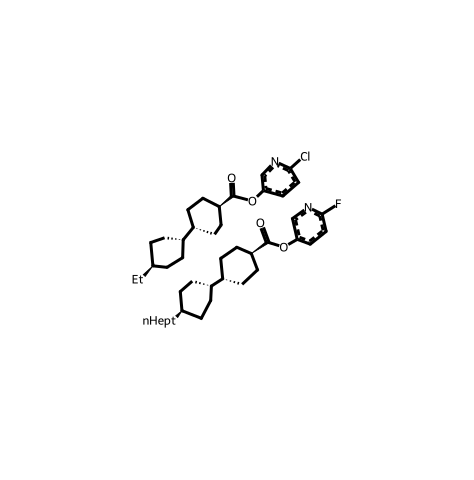 CCCCCCC[C@H]1CC[C@H]([C@H]2CC[C@H](C(=O)Oc3ccc(F)nc3)CC2)CC1.CC[C@H]1CC[C@H]([C@H]2CC[C@H](C(=O)Oc3ccc(Cl)nc3)CC2)CC1